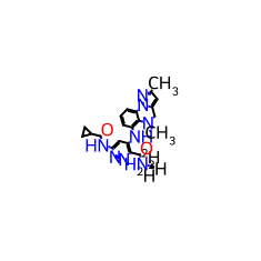 [2H]C([2H])([2H])NC(=O)c1nnc(NC(=O)C2CC2)cc1Nc1cccc2c1N(C)Cc1cc(C)nn1-2